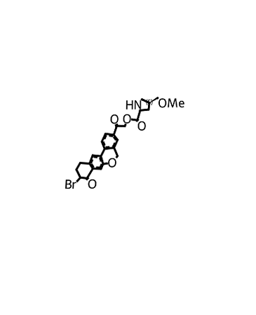 COC[C@@H]1CNC(C(=O)OCC(=O)c2ccc3c(c2)COc2cc4c(cc2-3)CCC(Br)C4=O)C1